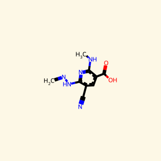 C=NNc1nc(NC)c(C(=O)O)cc1C#N